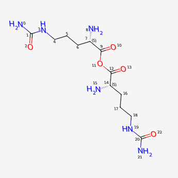 NC(=O)NCCC[C@H](N)C(=O)OC(=O)[C@@H](N)CCCNC(N)=O